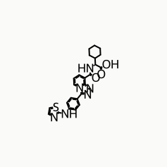 O=C(N[C@H](C(=O)O)C1CCCCC1)c1cccn2c(-c3ccc(Nc4nccs4)cc3)nnc12